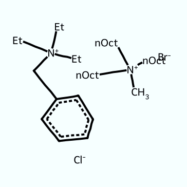 CCCCCCCC[N+](C)(CCCCCCCC)CCCCCCCC.CC[N+](CC)(CC)Cc1ccccc1.[Br-].[Cl-]